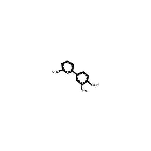 CCCCCCc1cc(-c2cccc(C=O)n2)ccc1C(=O)O